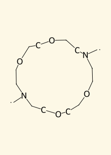 [CH2]N1CCOCCOCCN([CH2])CCOCCOCC1